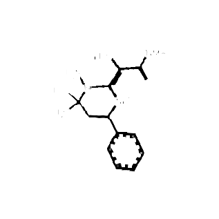 CNC(=O)/C(C)=C1\NC(c2ccccc2)CC(C)(C)N1N